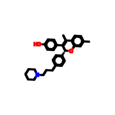 CC1=C(c2ccc(O)cc2)[C@@H](c2ccc(CCCN3CCCCC3)cc2)Oc2cc(C)ccc21